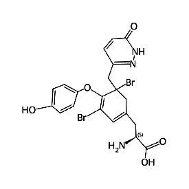 N[C@@H](CC1=CC(Br)=C(Oc2ccc(O)cc2)C(Br)(Cc2ccc(=O)[nH]n2)C1)C(=O)O